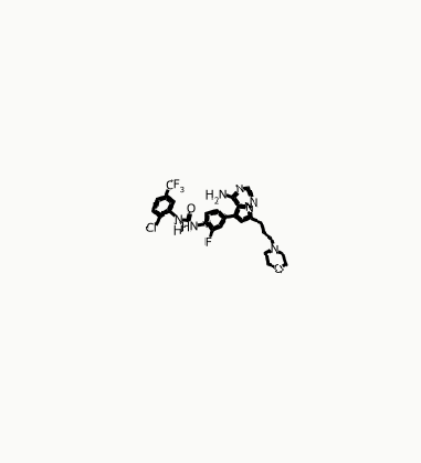 Nc1ncnn2c(CCCN3CCOCC3)cc(-c3ccc(NC(=O)Nc4cc(C(F)(F)F)ccc4Cl)c(F)c3)c12